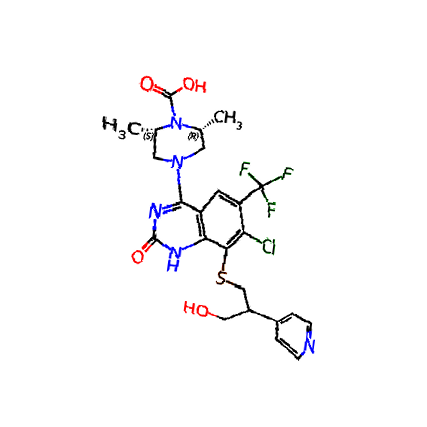 C[C@@H]1CN(c2nc(=O)[nH]c3c(SCC(CO)c4ccncc4)c(Cl)c(C(F)(F)F)cc23)C[C@H](C)N1C(=O)O